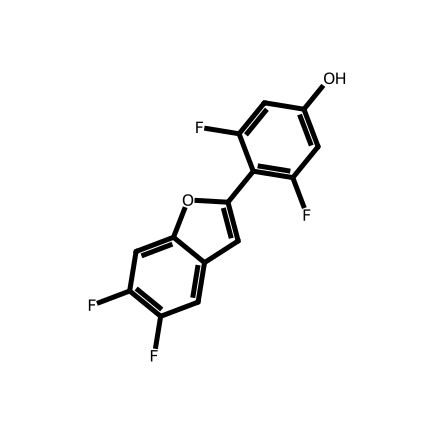 Oc1cc(F)c(-c2cc3cc(F)c(F)cc3o2)c(F)c1